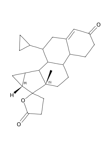 C[C@]12CCC3C4CCC(=O)C=C4CC(C4CC4)C3C1C1C[C@H]1C21CCC(=O)O1